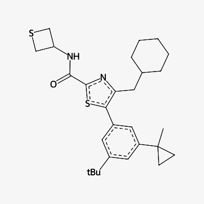 CC(C)(C)c1cc(-c2sc(C(=O)NC3CSC3)nc2CC2CCCCC2)cc(C2(C)CC2)c1